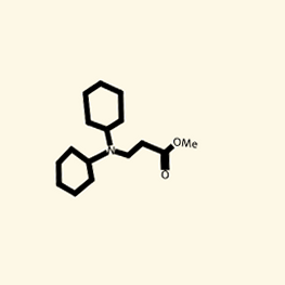 COC(=O)CCN(C1CCCCC1)C1CCCCC1